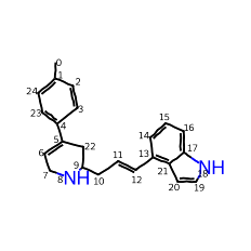 Cc1ccc(C2=CCNC(CC=Cc3cccc4[nH]ccc34)C2)cc1